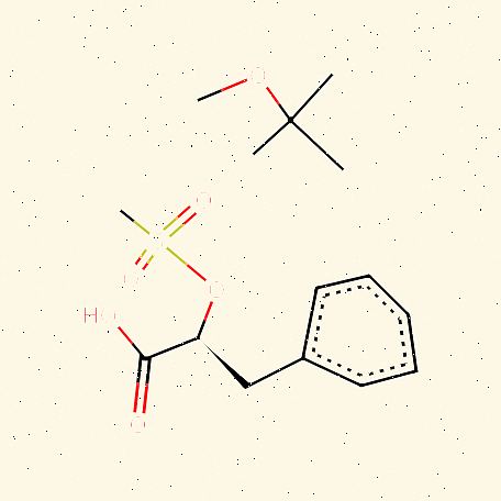 COC(C)(C)C.CS(=O)(=O)O[C@@H](Cc1ccccc1)C(=O)O